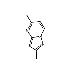 Cc1ccn2nc(C)cc2n1